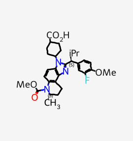 COC(=O)N1c2ccc3c(nc([C@H](c4ccc(OC)c(F)c4)C(C)C)n3C3CCC(C(=O)O)CC3)c2CC[C@@H]1C